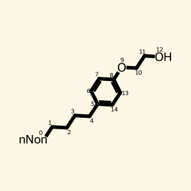 CCCCCCCCCCCCCc1ccc(OCCO)cc1